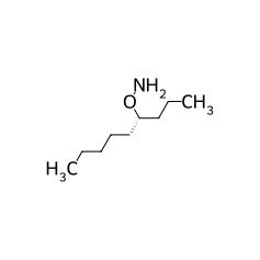 CCCCC[C@@H](CCC)ON